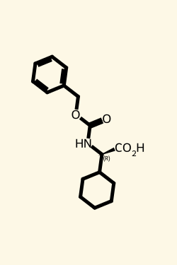 O=C(N[C@@H](C(=O)O)C1CCCCC1)OCc1ccccc1